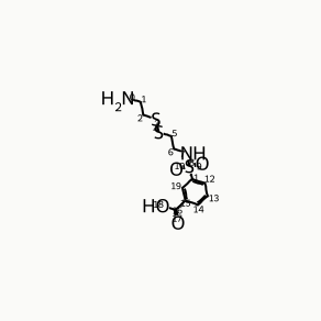 NCCSSCCNS(=O)(=O)c1cccc(C(=O)O)c1